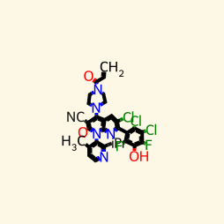 C=CC(=O)N1CCN(c2c(C#N)c(=O)n(-c3c(C)ccnc3C(C)C)c3nc(-c4c(F)c(O)c(F)c(Cl)c4Cl)c(Cl)cc23)CC1